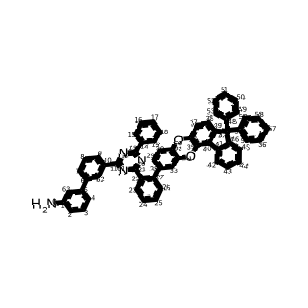 Nc1cccc(-c2cccc(-c3nc(-c4ccccc4)nc(-c4ccccc4-c4ccc5c(c4)Oc4c(ccc6c4-c4ccccc4C6(c4ccccc4)c4ccccc4)O5)n3)c2)c1